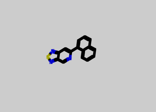 c1ccc2c(-c3cc4nsnc4cn3)cccc2c1